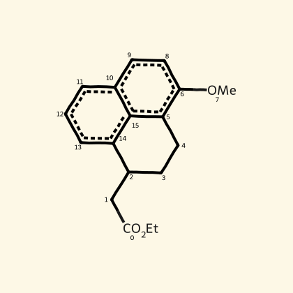 CCOC(=O)CC1CCc2c(OC)ccc3cccc1c23